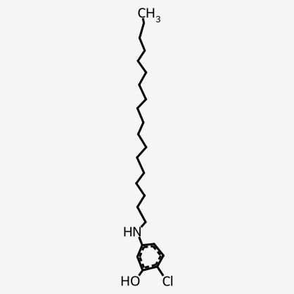 CCCCCCCCCCCCCCCCCCNc1ccc(Cl)c(O)c1